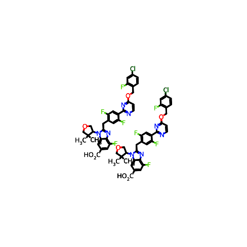 CC1(C)COCC1n1c(Cc2cc(F)c(-c3nccc(OCc4ccc(Cl)cc4F)n3)cc2F)nc2c(F)cc(C(=O)O)cc21.CC1(C)COCC1n1c(Cc2cc(F)c(-c3nccc(OCc4ccc(Cl)cc4F)n3)cc2F)nc2c(F)cc(C(=O)O)cc21